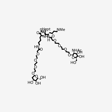 CCCCCCCNC(=O)C(CCCCNC(=O)COCCOCCOCCO[C@H]1C[C@@H](O)[C@@H](O)[C@@H](CO)O1)NC(=O)[C@H](CCCCNC)NC(=O)COCCOCCOCCO[C@@H]1O[C@H](CO)[C@H](O)[C@H](O)[C@H]1NC(C)=O